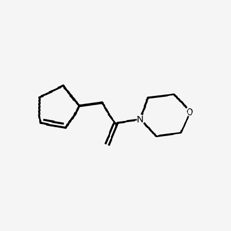 C=C(CC1C=CCC1)N1CCOCC1